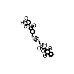 O=C1CCC(N2CC3=C(C=CC(CN4CCN(CCNC(=O)c5cc6c(o5)C(=O)c5ccccc5C6=O)CC4)C3)C2=O)C(=O)N1